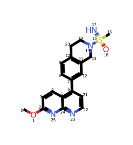 COc1ccc2c(-c3ccc4c(c3)CN(S(C)(=N)=O)CC4)ccnc2n1